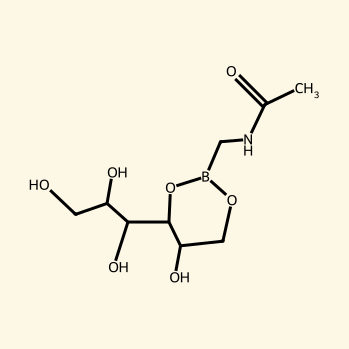 CC(=O)NCB1OCC(O)C(C(O)C(O)CO)O1